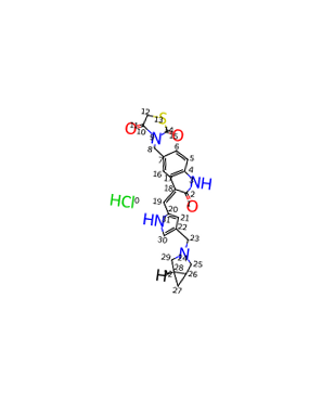 Cl.O=C1Nc2ccc(CN3C(=O)CSC3=O)cc2C1=Cc1cc(CN2CC3C[C@@H]3C2)c[nH]1